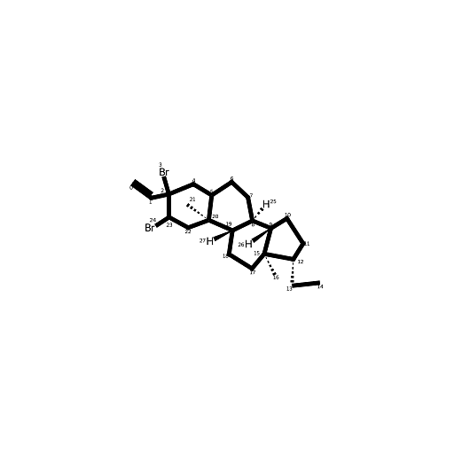 C=CC1(Br)CC2CC[C@H]3[C@@H]4CC[C@H](CC)[C@@]4(C)CC[C@@H]3[C@@]2(C)CC1Br